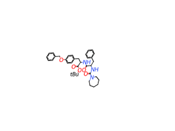 CC(C)(C)OC(=O)C(Cc1ccc(OCc2ccccc2)cc1)NC(=O)C(Cc1ccccc1)NC(=O)N1CCCCCC1